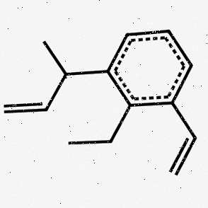 C=C[C](C)c1cccc(C=C)c1CC